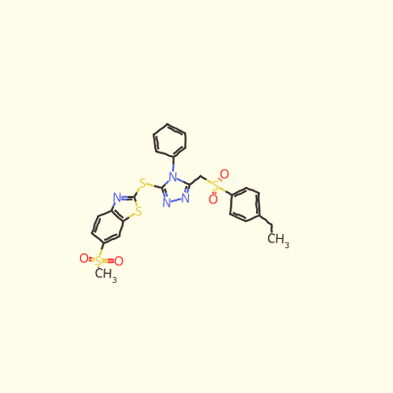 CCc1ccc(S(=O)(=O)Cc2nnc(Sc3nc4ccc(S(C)(=O)=O)cc4s3)n2-c2ccccc2)cc1